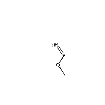 COP=N